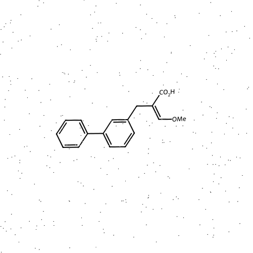 COC=C(Cc1cccc(-c2ccccc2)c1)C(=O)O